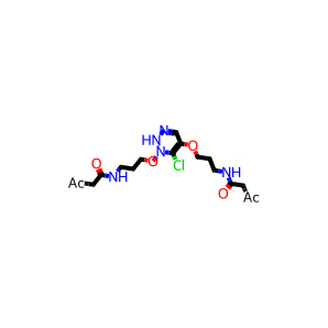 CC(=O)CC(=O)NCCCOC1=C(Cl)N(OCCCNC(=O)CC(C)=O)NN=C1